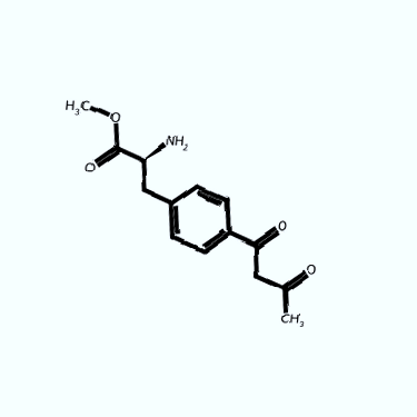 COC(=O)[C@@H](N)Cc1ccc(C(=O)CC(C)=O)cc1